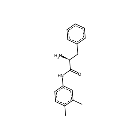 Cc1ccc(NC(=O)[C@@H](N)Cc2ccccc2)cc1C